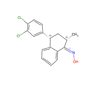 C[C@H]1C[C@@H](c2ccc(Cl)c(Cl)c2)c2ccccc2/C1=N\O